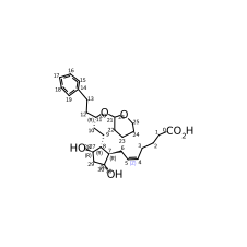 O=C(O)CCC/C=C\C[C@@H]1[C@@H](CC[C@H](CCc2ccccc2)OC2CCCCO2)[C@H](O)C[C@@H]1O